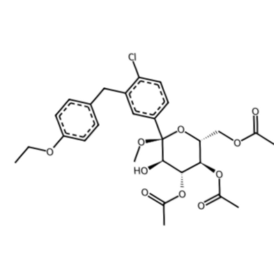 CCOc1ccc(Cc2cc([C@]3(OC)O[C@H](COC(C)=O)[C@@H](OC(C)=O)[C@H](OC(C)=O)[C@H]3O)ccc2Cl)cc1